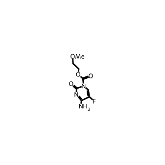 COCCOC(=O)n1cc(F)c(N)nc1=O